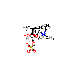 C=C(C)C(=O)O.CC[N+](C)(C)C.COS(=O)(=O)[O-]